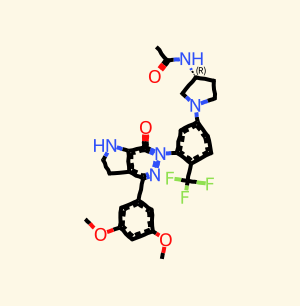 COc1cc(OC)cc(-c2nn(-c3cc(N4CC[C@@H](NC(C)=O)C4)ccc3C(F)(F)F)c(=O)c3c2CCN3)c1